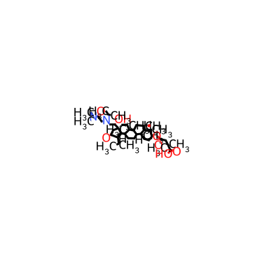 CC(C)C1=C2[C@H]3CC[C@@H]4[C@@]5(C)CC[C@H](OC(=O)CC(C)(C)C(=O)O)C(C)(C)[C@@H]5CC[C@@]4(C)[C@]3(C)CC[C@@]2([C@@H](O)CN(CC(=O)N(C)C)C(C)C)CC1=O